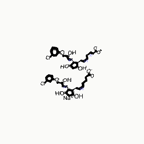 COC(=O)/C=C/C/C=C\C[C@@H]1[C@@H](/C=C/[C@@H](O)COc2cccc(Cl)c2)[C@H](O)C[C@@H]1O.O=C([O-])CCC/C=C\C[C@@H]1[C@@H](/C=C/[C@@H](O)COc2cccc(Cl)c2)[C@H](O)C[C@@H]1O.[Na+]